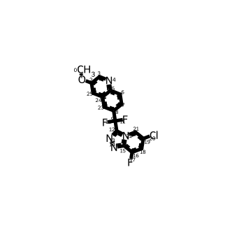 COc1cnc2ccc(C(F)(F)c3nnc4c(F)cc(Cl)cn34)cc2c1